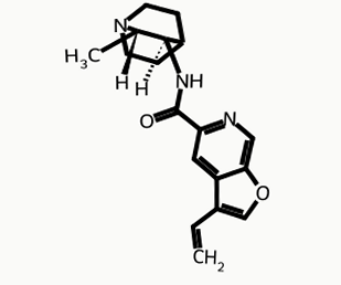 C=Cc1coc2cnc(C(=O)N[C@@H]3C4CCN(CC4)[C@H]3C)cc12